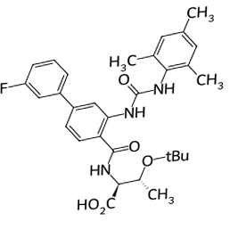 Cc1cc(C)c(NC(=O)Nc2cc(-c3cccc(F)c3)ccc2C(=O)N[C@H](C(=O)O)[C@@H](C)OC(C)(C)C)c(C)c1